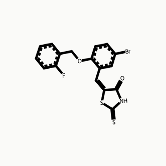 O=C1NC(=S)S/C1=C/c1cc(Br)ccc1OCc1ccccc1F